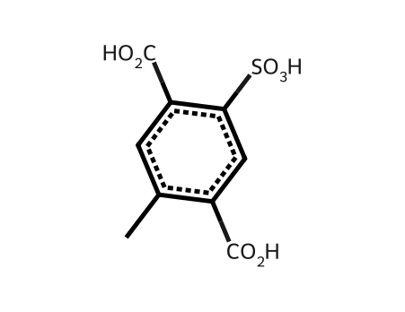 Cc1cc(C(=O)O)c(S(=O)(=O)O)cc1C(=O)O